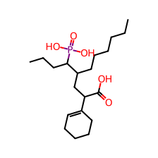 CCCCCCC(CC(C(=O)O)C1=CCCCC1)C(CCC)P(=O)(O)O